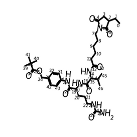 CCC1CC(=O)N(CCCCCC(=O)N[C@H](C(=O)N[C@@H](CCCNC(N)=O)C(=O)Nc2ccc(COC(=O)C(C)(C)C)cc2)C(C)C)C1=O